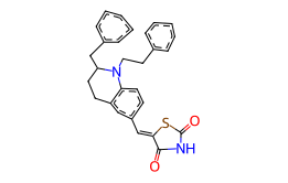 O=C1NC(=O)/C(=C/c2ccc3c(c2)CCC(Cc2ccccc2)N3CCc2ccccc2)S1